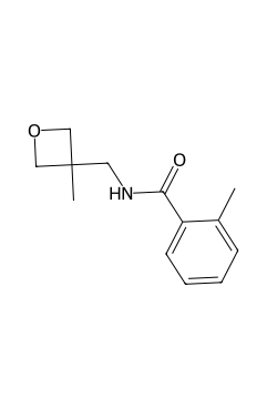 Cc1ccccc1C(=O)NCC1(C)COC1